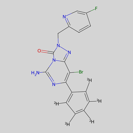 [2H]c1c([2H])c([2H])c(-c2nc(N)n3c(=O)n(Cc4ccc(F)cn4)nc3c2Br)c([2H])c1[2H]